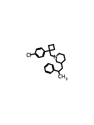 CC(CC1CCCN(CC2(c3ccc(Cl)cc3)CCC2)C1)c1ccccc1